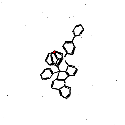 c1ccc(-c2ccc(N(c3ccccc3)c3cccc4c3C(c3ccccc3)(c3ccccc3)c3ccc5ccccc5c3-4)cc2)cc1